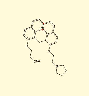 COCCOc1ccc2ccccc2c1Cc1c(OCCN2CCCC2)ccc2ccccc12